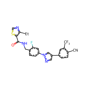 CCc1ncsc1C(=O)NCc1ccc(-n2cc(-c3ccc(C#N)c(C(F)(F)F)c3)cn2)cc1F